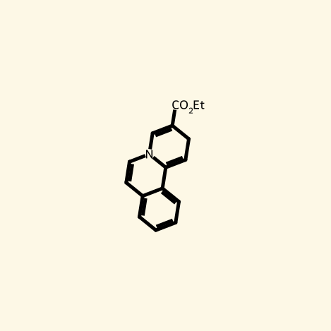 CCOC(=O)C1=CN2C=Cc3ccccc3C2=CC1